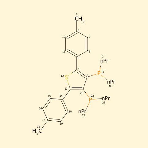 CCCP(CCC)c1c(-c2ccc(C)cc2)sc(-c2ccc(C)cc2)c1P(CCC)CCC